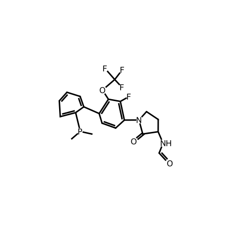 CP(C)c1ccccc1-c1ccc(N2CCC(NC=O)C2=O)c(F)c1OC(F)(F)F